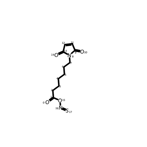 O=C(CCCCCCN1C(=O)C=CC1=O)ON=S